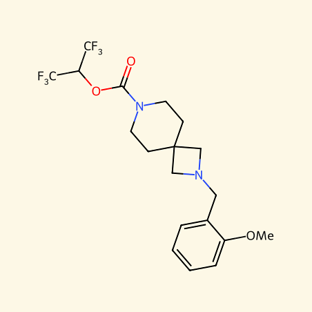 COc1ccccc1CN1CC2(CCN(C(=O)OC(C(F)(F)F)C(F)(F)F)CC2)C1